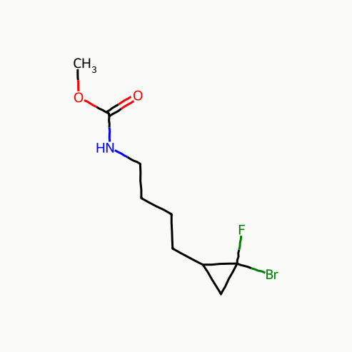 COC(=O)NCCCCC1CC1(F)Br